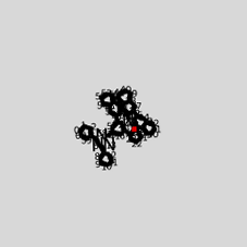 c1ccc(-c2nc(-c3ccccc3)nc(-c3cc(-c4ccccc4)c(-n4c5cc6ccccc6cc5c5cc6ccccc6cc54)c(-c4ccc5ccccc5c4)c3)n2)cc1